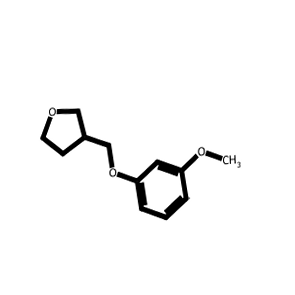 COc1[c]ccc(OCC2CCOC2)c1